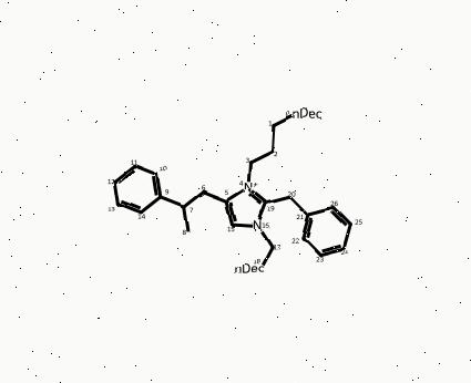 CCCCCCCCCCCCC[n+]1c(CC(C)c2ccccc2)cn(CCCCCCCCCCC)c1Cc1ccccc1